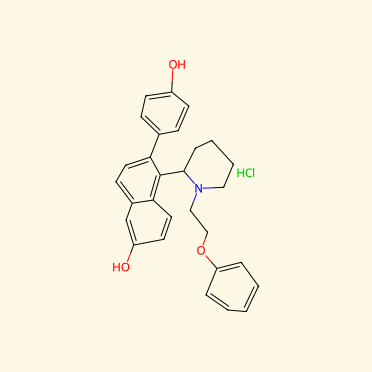 Cl.Oc1ccc(-c2ccc3cc(O)ccc3c2C2CCCCN2CCOc2ccccc2)cc1